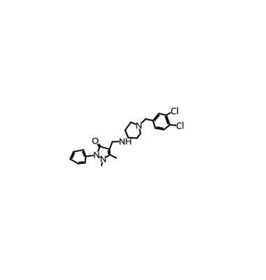 Cc1c(CNC2CCN(Cc3ccc(Cl)c(Cl)c3)CC2)c(=O)n(-c2ccccc2)n1C